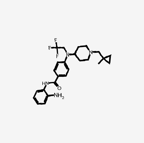 CC1(CN2CCC(N(CC(F)(F)F)c3ccc(C(=O)Nc4ccccc4N)cc3)CC2)CC1